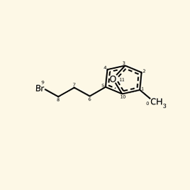 Cc1cc2cc(CCCBr)c1o2